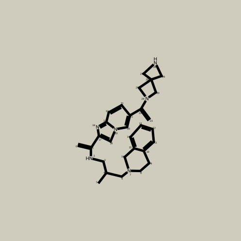 C=C(NCC(C)CN1CCc2ccccc2C1)c1cn2cc(C(=C)N3CC4(CNC4)C3)ccc2n1